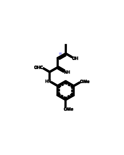 COc1cc(NC(C=O)C(=N)/C=C(/C)O)cc(OC)c1